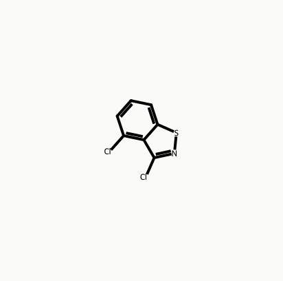 Clc1cccc2snc(Cl)c12